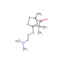 CN(C)CCCC12CCC(C)(C1)C(=O)C2(C)C